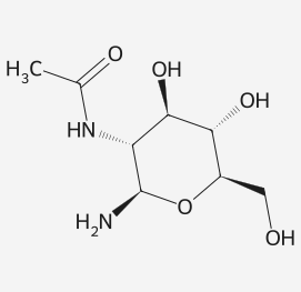 CC(=O)N[C@@H]1[C@@H](O)[C@H](O)[C@@H](CO)O[C@H]1N